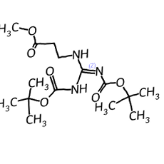 COC(=O)CCN/C(=N/C(=O)OC(C)(C)C)NC(=O)OC(C)(C)C